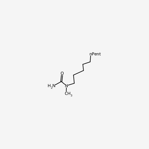 CCCCCCCCCCN(C)C(N)=O